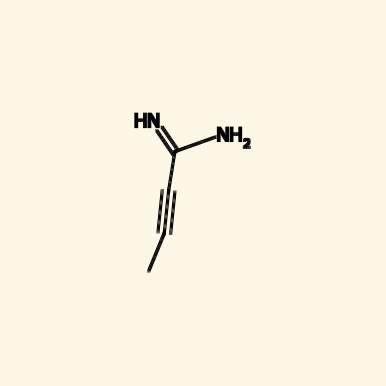 CC#CC(=N)N